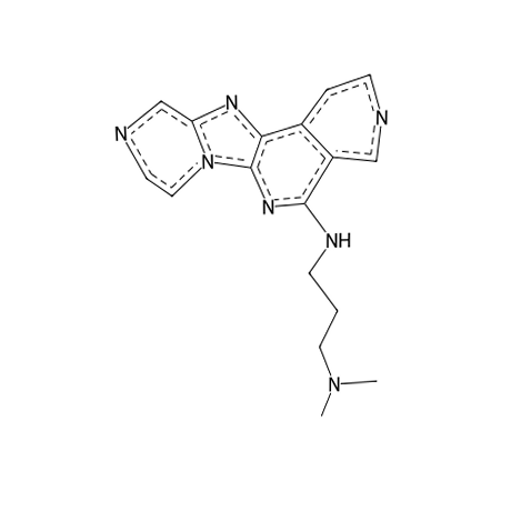 CN(C)CCCNc1nc2c(nc3cnccn32)c2ccncc12